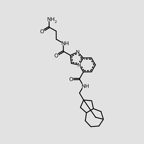 NC(=O)CCNC(=O)c1cn2c(C(=O)NCC34CC5CCCC(C3)C(C5)C4)cccc2n1